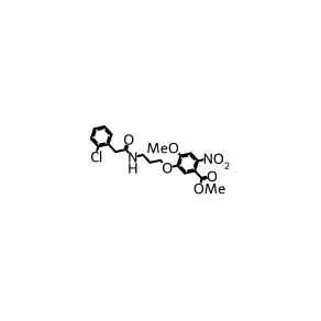 COC(=O)c1cc(OCCCNC(=O)Cc2ccccc2Cl)c(OC)cc1[N+](=O)[O-]